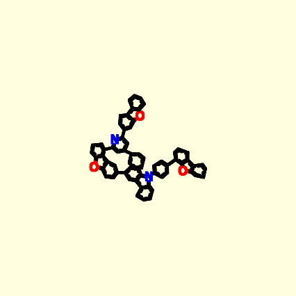 c1ccc(-c2cc(-c3ccc4c(c3)oc3ccccc34)nc(-c3cccc4oc5ccc(-c6ccc7c(c6)c6ccccc6n7-c6ccc(-c7cccc8c7oc7ccccc78)cc6)cc5c34)c2)cc1